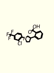 O=C(O)c1ccccc1C1CCN(c2ccc(C(F)(F)F)cc2Cl)C1